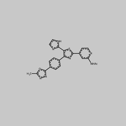 CC(=O)Nc1cc(-c2nc(-c3ccc(-c4nnc(C)o4)cc3)c(-c3ncc[nH]3)s2)ccn1